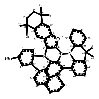 CC(C)(C)c1ccc(N2c3cc4ccccc4c4c3B(c3oc5cc6c(cc5c32)C(C)(C)CCC6(C)C)N2c3ccccc3C(C)(C)c3cccc-4c32)c(-c2ccccc2)c1